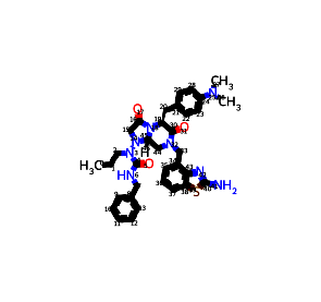 CCCN(C(=O)NCc1ccccc1)N1CC(=O)N2[C@@H](Cc3ccc(N(C)C)cc3)C(=O)N(Cc3cccc4sc(N)nc34)C[C@@H]21